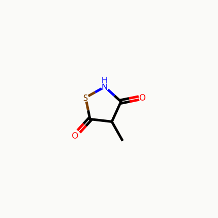 CC1C(=O)NSC1=O